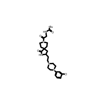 CC(C)(C)C(=O)NCC(=O)N1CCC2(CC1)CC(CCN1CCN(c3cccc(Cl)c3)CC1)NC2=O